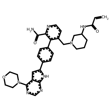 C=CC(=O)NC1CCCN(Cc2ccnc(C(N)=O)c2-c2ccc(-c3cc4c(N5CCOCC5)ncnc4[nH]3)cc2)C1